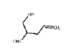 C=CCC([C]=O)CCCC